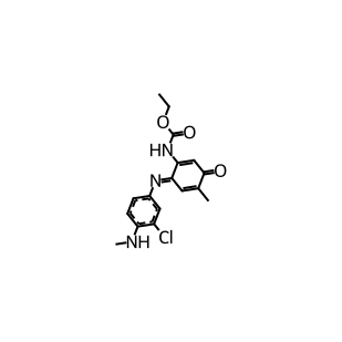 CCOC(=O)NC1=CC(=O)C(C)=CC1=Nc1ccc(NC)c(Cl)c1